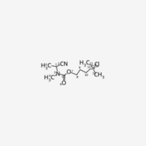 CC(C#N)N(C)C(=O)OCCC[Si](C)(C)Cl